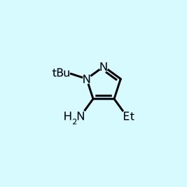 CCc1cnn(C(C)(C)C)c1N